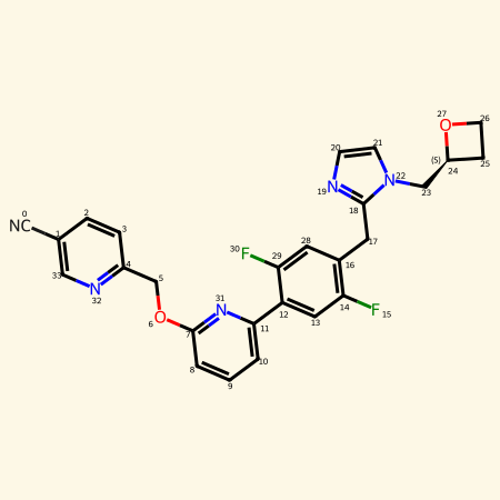 N#Cc1ccc(COc2cccc(-c3cc(F)c(Cc4nccn4C[C@@H]4CCO4)cc3F)n2)nc1